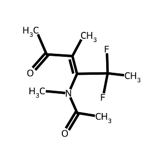 CC(=O)/C(C)=C(\N(C)C(C)=O)C(C)(F)F